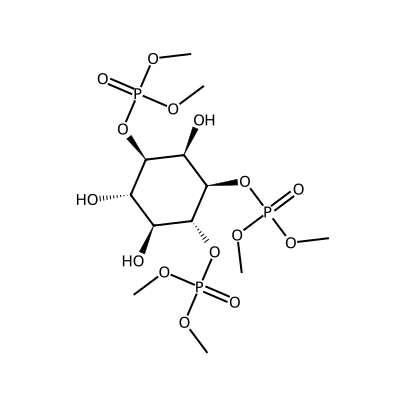 COP(=O)(OC)O[C@H]1[C@@H](O)[C@@H](OP(=O)(OC)OC)[C@H](OP(=O)(OC)OC)[C@@H](O)[C@@H]1O